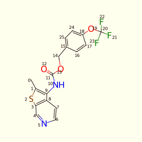 Cc1sc2cnccc2c1NC(=O)OCc1ccc(OC(F)(F)F)cc1